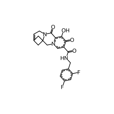 O=C(NCc1ccc(F)cc1F)c1cn2c(c(O)c1=O)C(=O)N1CC=C3CC1(C3)C2